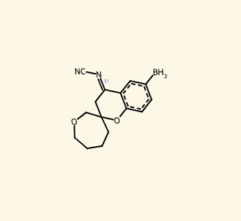 Bc1ccc2c(c1)/C(=N/C#N)CC1(CCCCOC1)O2